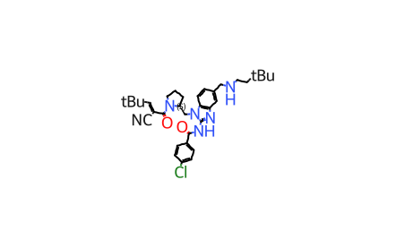 CC(C)(C)C=C(C#N)C(=O)N1CCC[C@H]1Cn1c(NC(=O)c2ccc(Cl)cc2)nc2cc(CNCCC(C)(C)C)ccc21